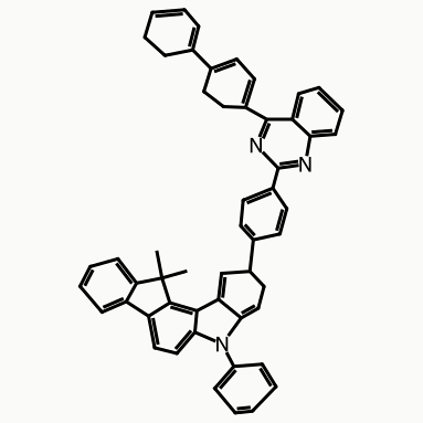 CC1(C)c2ccccc2-c2ccc3c(c21)c1c(n3-c2ccccc2)=CCC(c2ccc(-c3nc(C4=CC=C(C5=CC=CCC5)CC4)c4ccccc4n3)cc2)C=1